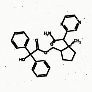 C[N@@+]1(C(C(N)=O)c2cnccn2)CCCC1COC(=O)C(O)(c1ccccc1)c1ccccc1